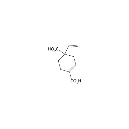 C=CC1(C(=O)O)CC=C(C(=O)O)CC1